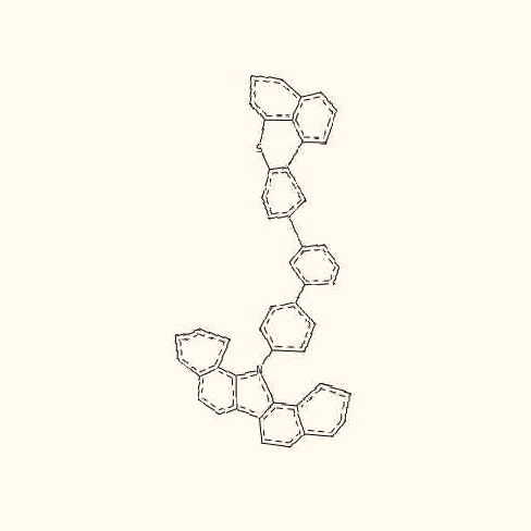 c1cc(-c2ccc(-n3c4c5ccccc5ccc4c4ccc5ccccc5c43)cc2)cc(-c2ccc3c(c2)-c2cccc4cccc(c24)S3)c1